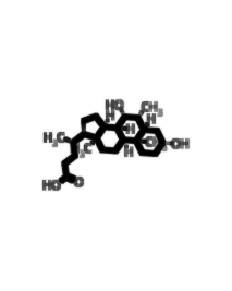 C[C@H]1[C@@H](O)[C@@H]2[C@H](CC[C@]3(C)[C@@H]([C@H](C)CCC(=O)O)CC[C@@H]23)[C@@]2(C)CC[C@@H](O)C[C@@H]12